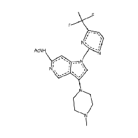 CC(=O)Nc1cc2c(cn1)c(N1CCN(C)CC1)cn2-c1nccc(C(C)(F)F)n1